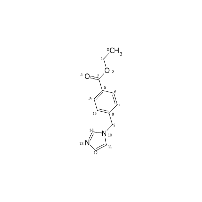 CCOC(=O)c1ccc(Cn2ccnc2)cc1